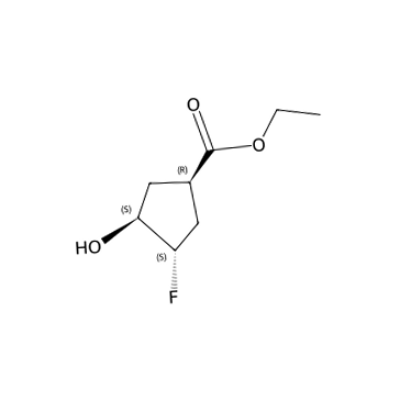 CCOC(=O)[C@@H]1C[C@H](O)[C@@H](F)C1